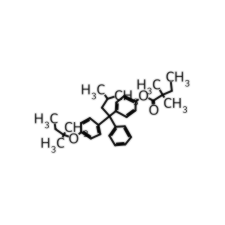 CCC(C)(C)Oc1ccc(C(CC(C)C)(c2ccccc2)c2ccc(OC(=O)C(C)(C)CC)cc2)cc1